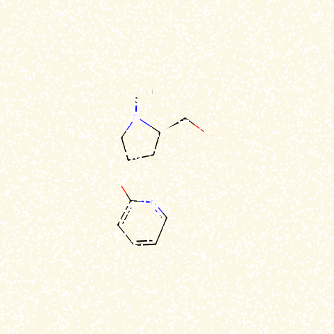 O=C(O)N1C[C@@H](Oc2ccccn2)C[C@@H]1CO